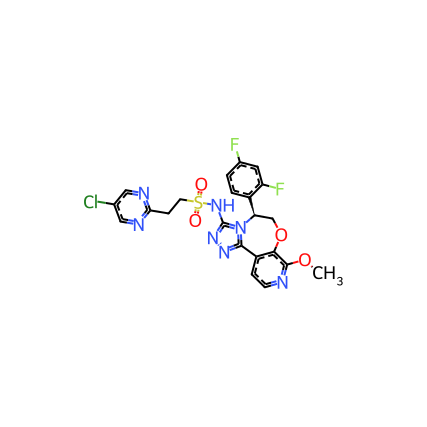 COc1nccc2c1OC[C@H](c1ccc(F)cc1F)n1c(NS(=O)(=O)CCc3ncc(Cl)cn3)nnc1-2